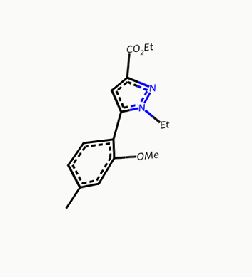 CCOC(=O)c1cc(-c2ccc(C)cc2OC)n(CC)n1